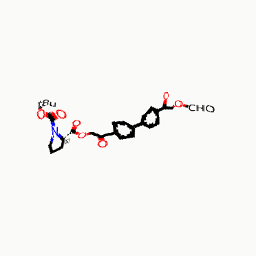 CC(C)(C)OC(=O)N1CCC[C@H]1C(=O)OCC(=O)c1ccc(-c2ccc(C(=O)COC=O)cc2)cc1